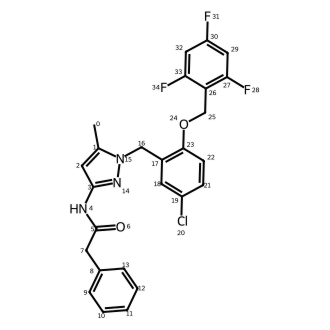 Cc1cc(NC(=O)Cc2ccccc2)nn1Cc1cc(Cl)ccc1OCc1c(F)cc(F)cc1F